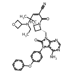 CCN(C1COC1)C(C)(C)/C=C(/C#N)C(=O)N1CC[C@H]1Cn1c(=O)n(-c2ccc(Oc3ccccc3)cc2)c2c(N)ncnc21